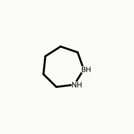 B1CCCCCN1